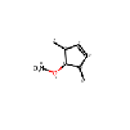 CC1C=CC(C)C1O[N+](=O)[O-]